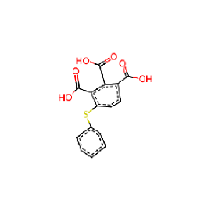 O=C(O)c1ccc(Sc2ccccc2)c(C(=O)O)c1C(=O)O